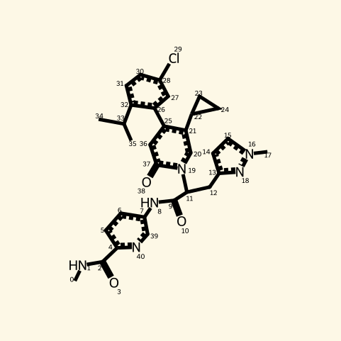 CNC(=O)c1ccc(NC(=O)C(Cc2ccn(C)n2)n2cc(C3CC3)c(-c3cc(Cl)ccc3C(C)C)cc2=O)cn1